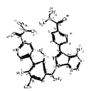 CCOc1c(C(C)n2nc(-c3ccc(C(=O)N(C)C)nc3)c3c(N)ncnc32)cc(Cl)c(C)c1-c1ccc(C(=O)N(C)C)nc1